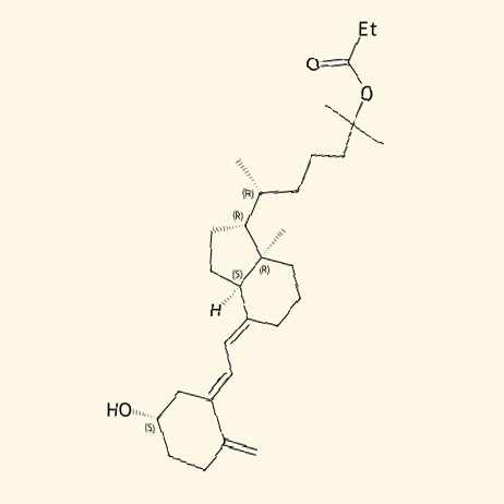 C=C1CC[C@H](O)CC1=CC=C1CCC[C@@]2(C)[C@@H]1CC[C@@H]2[C@H](C)CCCC(C)(C)OC(=O)CC